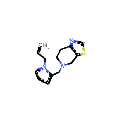 C=CCn1cccc1CN1CCc2n[c]sc2C1